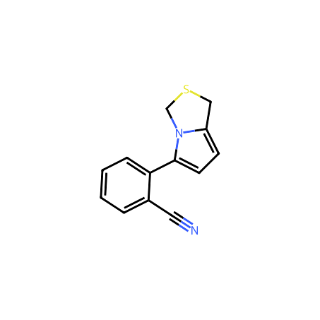 N#Cc1ccccc1-c1ccc2n1CSC2